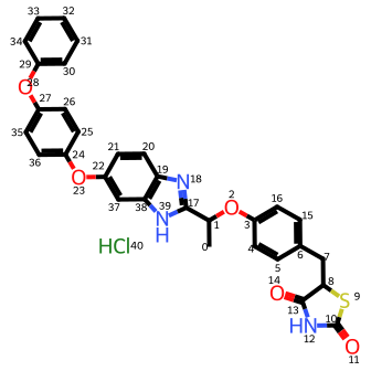 CC(Oc1ccc(CC2SC(=O)NC2=O)cc1)c1nc2ccc(Oc3ccc(Oc4ccccc4)cc3)cc2[nH]1.Cl